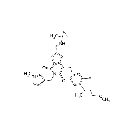 COCCN(C)c1ccc(Cn2c(=O)n(Cc3cnn(C)c3)c(=O)c3cc(SNC4(C)CC4)sc32)cc1F